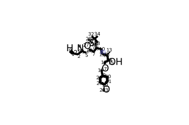 C#CC[C@H](N)C[C@@H](C[C@H](C)/C=C/[C@@H](C)[C@@H](O)COCc1ccc(OC)cc1)O[Si](C)(C)C(C)(C)C